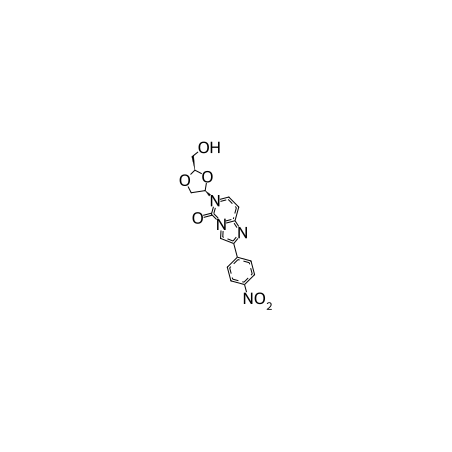 O=c1n([C@H]2CO[C@@H](CO)O2)ccc2nc(-c3ccc([N+](=O)[O-])cc3)cn12